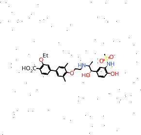 CCOc1cc(-c2cc(C)c(OCCN[C@@H](C)[C@@H](O)c3ccc(O)c(NS(C)(=O)=O)c3)c(C)c2)ccc1C(=O)O